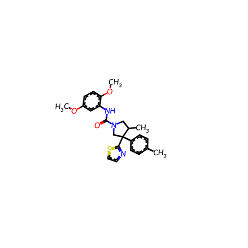 COc1ccc(OC)c(NC(=O)N2CC(C)C(c3ccc(C)cc3)(c3nccs3)C2)c1